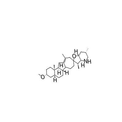 CO[C@@H]1CC[C@@]2(C)[C@H](CC[C@H]3[C@@H]4CCC5(CC(C)=C4C[C@@H]32)O[C@@H]2C[C@H](C)CN[C@H]2[C@H]5C)C1